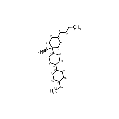 CCCCC1CCC(C#N)(C2CCC(C3CCC(CC)CC3)CC2)CC1